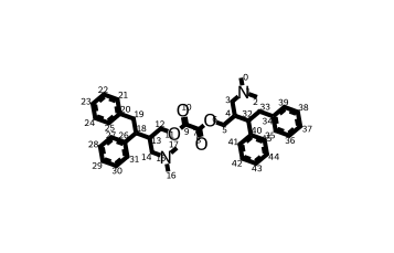 CN(C)CC(COC(=O)C(=O)OCC(CN(C)C)C(Cc1ccccc1)c1ccccc1)C(Cc1ccccc1)c1ccccc1